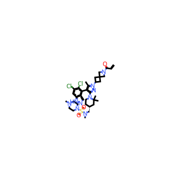 C=CC(=O)N1CC2(CC(n3nc(N4CC[C@@H](CN(C)S(=O)(=O)N5CCN(C)CC5)CC4(C)C)c(-c4c(Cl)c(Cl)cc5[nH]ncc45)c3C)C2)C1